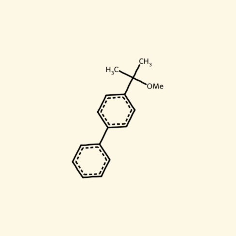 COC(C)(C)c1ccc(-c2ccccc2)cc1